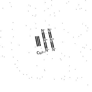 C#C.[Cu+2].[N-]=[N+]=[N-].[N-]=[N+]=[N-]